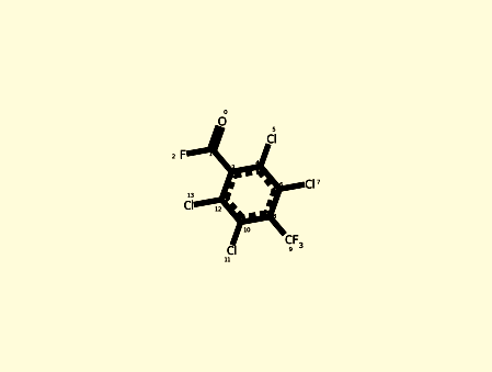 O=C(F)c1c(Cl)c(Cl)c(C(F)(F)F)c(Cl)c1Cl